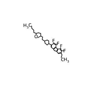 CCCCCC1CCC(CCC2CCC(c3cc4c(c(F)c3F)-c3c(cc(CCC)c(F)c3F)C4)CC2)CO1